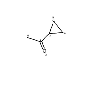 CC(=O)C1CS1